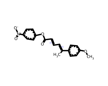 COc1ccc(/C(C)=C/C=C/C(=O)Oc2ccc([N+](=O)[O-])cc2)cc1